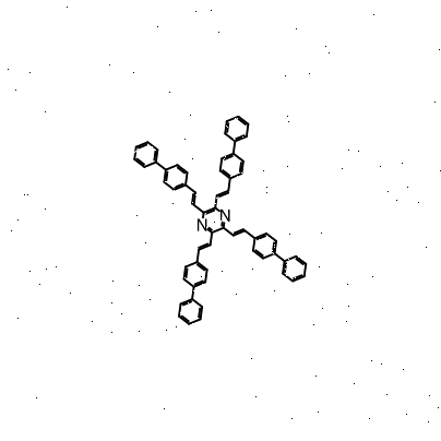 C(=Cc1nc(C=Cc2ccc(-c3ccccc3)cc2)c(C=Cc2ccc(-c3ccccc3)cc2)nc1C=Cc1ccc(-c2ccccc2)cc1)c1ccc(-c2ccccc2)cc1